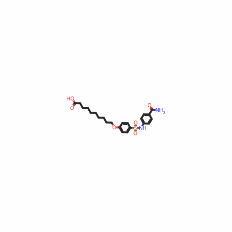 NC(=O)c1ccc(NS(=O)(=O)c2ccc(OCCCCCCCCCC(=O)O)cc2)cc1